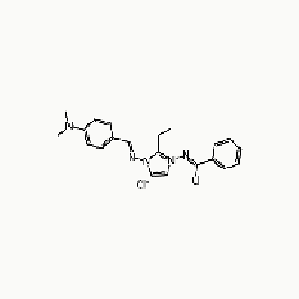 CCc1n(N=Cc2ccc(N(C)C)cc2)cc[n+]1N=C(Cl)c1ccccc1.[Cl-]